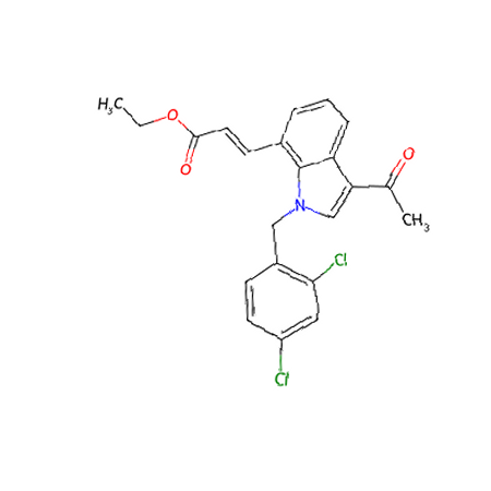 CCOC(=O)/C=C/c1cccc2c(C(C)=O)cn(Cc3ccc(Cl)cc3Cl)c12